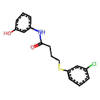 O=C(CCCSc1cccc(Cl)c1)Nc1cccc(O)c1